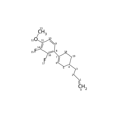 C=CCCC1CC=C(c2ccc(OC)c(F)c2F)CC1